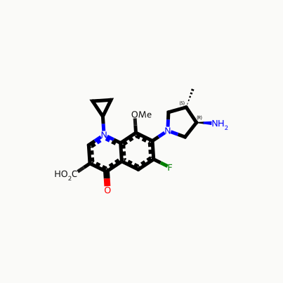 COc1c(N2C[C@H](C)[C@@H](N)C2)c(F)cc2c(=O)c(C(=O)O)cn(C3CC3)c12